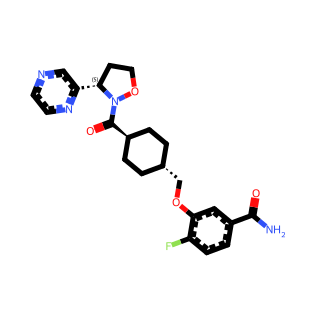 NC(=O)c1ccc(F)c(OC[C@H]2CC[C@H](C(=O)N3OCC[C@H]3c3cnccn3)CC2)c1